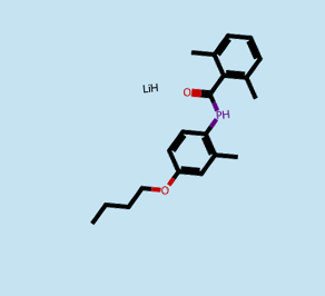 CCCCOc1ccc(PC(=O)c2c(C)cccc2C)c(C)c1.[LiH]